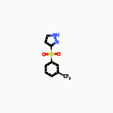 O=S(=O)(c1cccc(C(F)(F)F)c1)c1cc[nH]n1